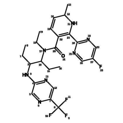 CCC(Nc1cnc(C(F)(F)F)cn1)C(CC)N(CC)C(=O)C1=C(c2ncc(F)cn2)NC(C)C=C1